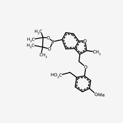 COc1ccc(CC(=O)O)c(OCc2c(C)oc3ccc(B4OC(C)(C)C(C)(C)O4)cc23)c1